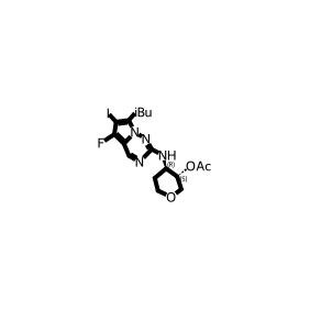 CCC(C)c1c(I)c(F)c2cnc(N[C@@H]3CCOC[C@H]3OC(C)=O)nn12